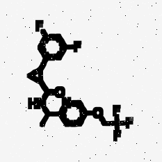 C[C@@H](NC(=O)C1CC1c1cc(F)cc(F)c1)c1ccc(OCC(F)(F)F)cn1